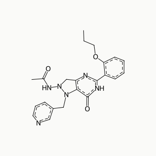 CCCOc1ccccc1-c1nc2c(c(=O)[nH]1)N(Cc1cccnc1)N(NC(C)=O)C2